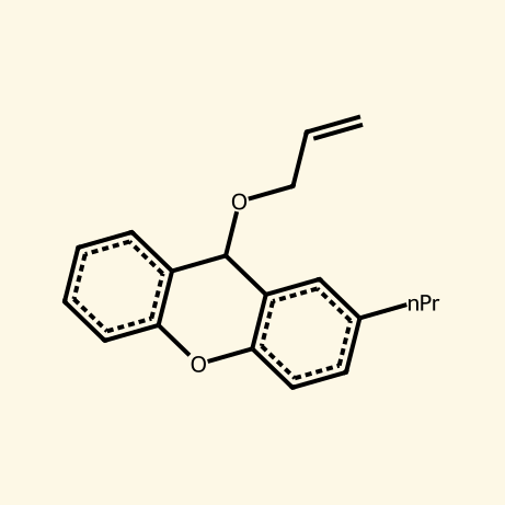 C=CCOC1c2ccccc2Oc2ccc(CCC)cc21